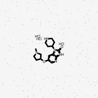 CN1CCC(Oc2cnc3[nH]c(=O)n(C4CCNCC4)c3c2)C1.Cl.Cl.Cl